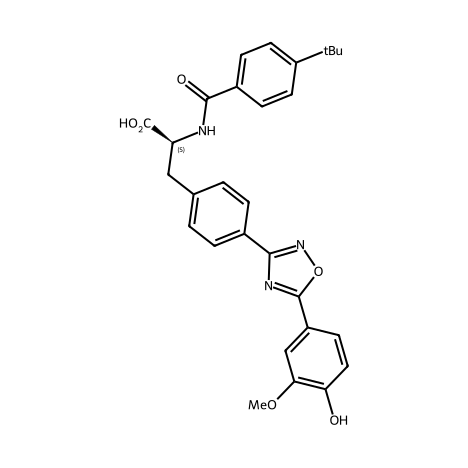 COc1cc(-c2nc(-c3ccc(C[C@H](NC(=O)c4ccc(C(C)(C)C)cc4)C(=O)O)cc3)no2)ccc1O